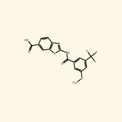 COc1cc(C(=O)Nc2nc3ccc(C(=O)O)cc3s2)cc(C(F)(F)F)c1